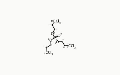 O=P(OCCC(Cl)(Cl)Cl)(OCCC(Cl)(Cl)Cl)OCCC(Cl)(Cl)Cl